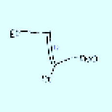 CC/C=C(/[C]=O)CC